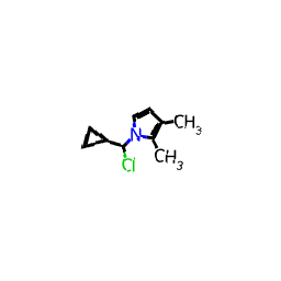 Cc1ccn(C(Cl)C2CC2)c1C